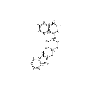 c1ccc2[nH]c(CN3CCN(c4ccnc5ccccc45)CC3)cc2c1